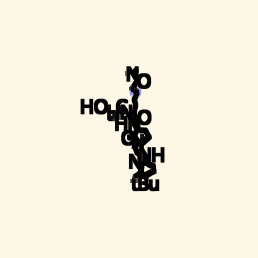 CN(C)C(=O)/C=C/CCC(NC(=O)O)C(=O)Nc1cccn(Cc2nc3c(CC(C)(C)C)cccc3[nH]2)c1=O